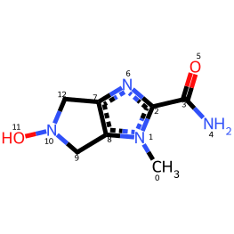 Cn1c(C(N)=O)nc2c1CN(O)C2